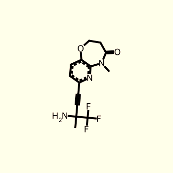 CN1C(=O)CCOc2ccc(C#CC(C)(N)C(F)(F)F)nc21